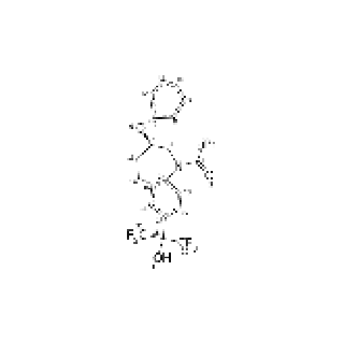 CC(C)C(=O)N1C[C@H](Oc2ccccc2)CCc2cc(C(O)(C(F)(F)F)C(F)(F)F)ccc21